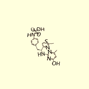 Cc1cc(O)nc(N[C@@H](Cc2ccc(NS(=O)(=O)O)cc2)c2csc(C)n2)n1